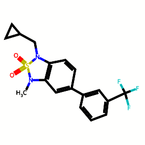 CN1c2cc(-c3cccc(C(F)(F)F)c3)ccc2N(CC2CC2)S1(=O)=O